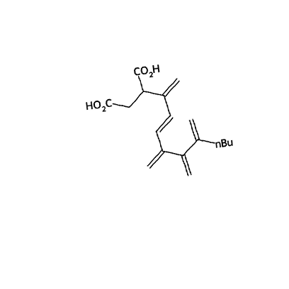 C=C(/C=C/C(=C)C(CC(=O)O)C(=O)O)C(=C)C(=C)CCCC